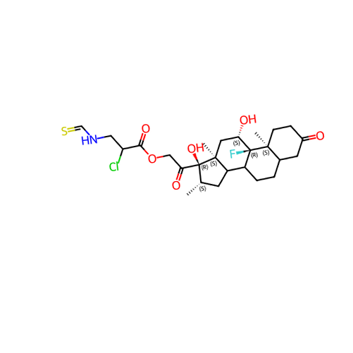 C[C@H]1CC2C3CCC4CC(=O)CC[C@]4(C)[C@@]3(F)[C@@H](O)C[C@]2(C)[C@@]1(O)C(=O)COC(=O)C(Cl)CNC=S